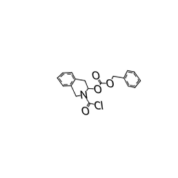 O=C(OCc1ccccc1)OC1Cc2ccccc2CN1C(=O)Cl